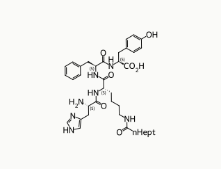 CCCCCCCC(=O)NCCCC[C@H](NC(=O)[C@@H](N)Cc1c[nH]cn1)C(=O)N[C@@H](Cc1ccccc1)C(=O)N[C@@H](Cc1ccc(O)cc1)C(=O)O